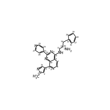 Cn1cc(-c2nccc3c(NC[C@@H](N)Cc4ccccc4)nc(-c4ccncc4)nc23)cn1